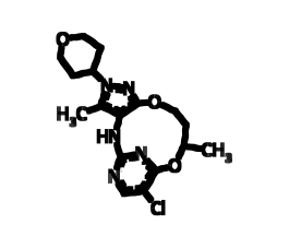 Cc1c2c(nn1C1CCOCC1)OCCC(C)Oc1nc(ncc1Cl)N2